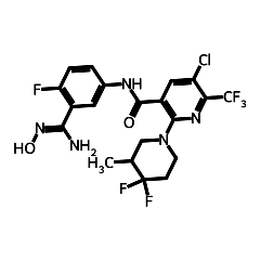 CC1CN(c2nc(C(F)(F)F)c(Cl)cc2C(=O)Nc2ccc(F)c(C(N)=NO)c2)CCC1(F)F